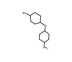 CC(C)C1CCC(OC2CCC(P)CC2)CC1